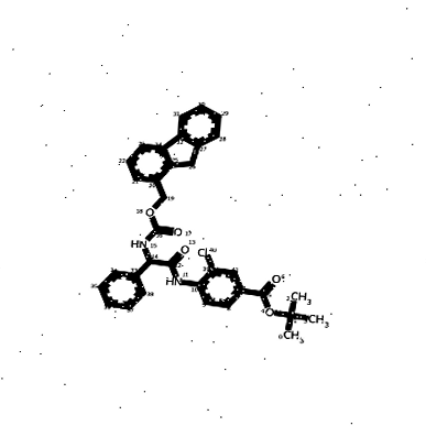 CC(C)(C)OC(=O)c1ccc(NC(=O)C(NC(=O)OCc2cccc3c2Cc2ccccc2-3)c2ccccc2)c(Cl)c1